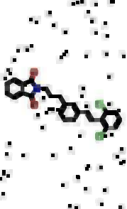 O=C1c2ccccc2C(=O)N1CCCc1cccc(/C=C/c2c(Cl)cccc2Cl)c1